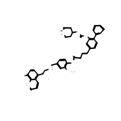 COc1cc(CNC[C@@H](O)c2ccc(O)c3[nH]c(=O)ccc23)ccc1NC(=O)CCCc1ccc(-c2ccccc2)c(NC(=O)OC2CC[N+](C)(C)CC2)c1